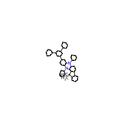 CC1(C)c2ccccc2-c2ccc3c(c21)N(c1ccccc1)c1ccc(-c2cc(-c4ccccc4)cc(-c4ccccc4)c2)cc1N3c1ccccc1